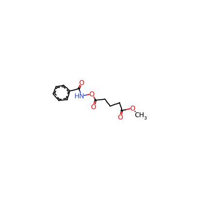 COC(=O)CCCC(=O)ONC(=O)c1ccccc1